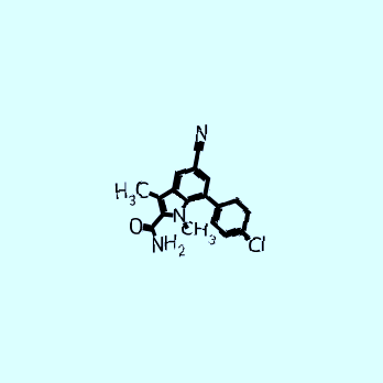 Cc1c(C(N)=O)n(C)c2c(C3=CC=C(Cl)CC3)cc(C#N)cc12